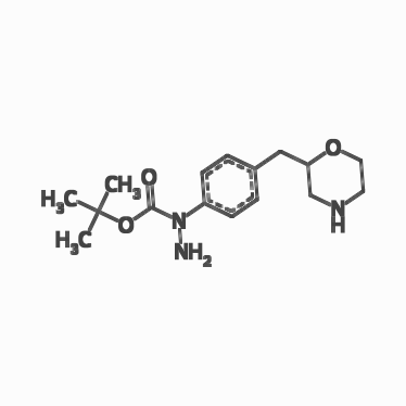 CC(C)(C)OC(=O)N(N)c1ccc(CC2CNCCO2)cc1